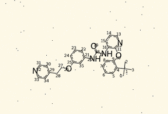 CC(C)(C)c1ccccc1Oc1ncccc1NC(=O)Nc1cccc(OCCc2ccncc2)c1